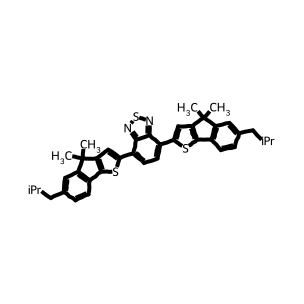 CC(C)Cc1ccc2c(c1)C(C)(C)c1cc(-c3ccc(-c4cc5c(s4)-c4ccc(CC(C)C)cc4C5(C)C)c4nsnc34)sc1-2